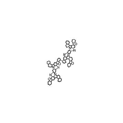 N#Cc1cc(-n2c3cc4oc5c(-c6cccc7c6ccc6c7c7c8c(ccc7n6-c6cc(C#N)c(-n7c9ccc%10ccccc%10c9c9c%10c(ccc97)oc7ccccc7%10)cc6C#N)oc6ccccc68)cccc5c4cc3c3c4ccccc4ccc32)c(C#N)cc1-n1c2cc3oc4ccccc4c3cc2c2c3ccccc3ccc21